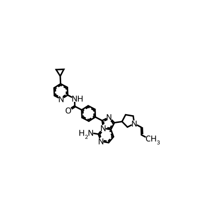 CC=CN1CCC(c2nc(-c3ccc(C(=O)Nc4cc(C5CC5)ccn4)cc3)n3c(N)nccc23)C1